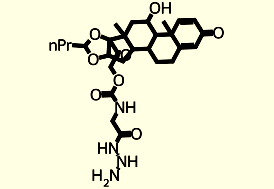 CCCC1OC2CC3C4CCC5=CC(=O)C=CC5(C)C4C(O)CC3(C)C2(C(=O)COC(=O)NCC(=O)NNN)O1